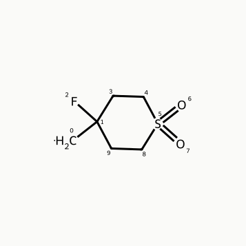 [CH2]C1(F)CCS(=O)(=O)CC1